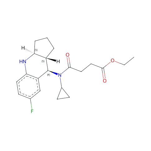 CCOC(=O)CCC(=O)N(C1CC1)[C@H]1c2cc(F)ccc2N[C@H]2CCC[C@@H]21